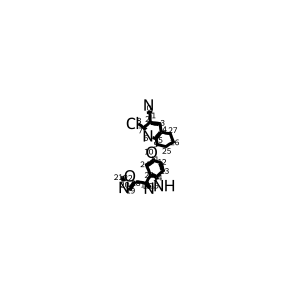 N#Cc1cc2c(nc1Cl)[C@@H](Oc1ccc3[nH]nc(-c4cnco4)c3c1)CCC2